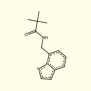 CC(C)(C)C(=O)NCc1cccc2ccnn12